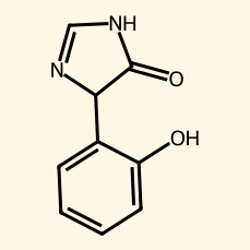 O=C1NC=NC1c1ccccc1O